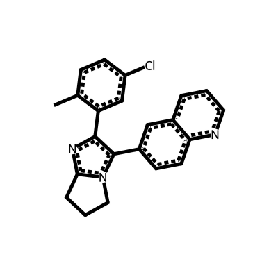 Cc1ccc(Cl)cc1-c1nc2n(c1-c1ccc3ncccc3c1)CCC2